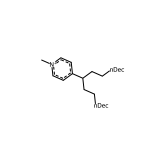 CCCCCCCCCCCCC(CCCCCCCCCCCC)c1cc[n+](C)cc1